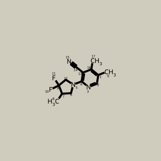 Cc1cnc(N2CC(C)C(F)(F)C2)c(C#N)c1C